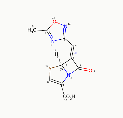 Cc1nc(/C=C2/C(=O)N3C(C(=O)O)=CS[C@@H]23)no1